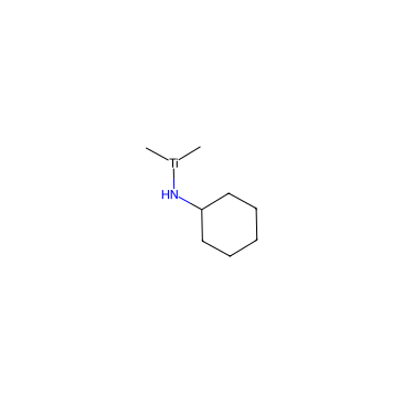 [CH3][Ti]([CH3])[NH]C1CCCCC1